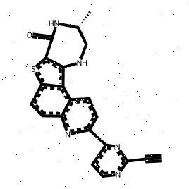 C#Cc1nccc(-c2ccc3c(ccc4sc5c(c43)NC[C@@H](C)NC5=O)n2)n1